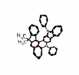 CC1(C)c2ccccc2-c2c(-c3cc4c(cc3N(c3ccccc3)c3ccccc3)c3ccccc3n4-c3ccccc3)cccc21